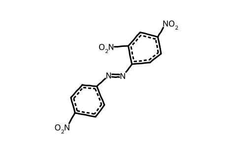 O=[N+]([O-])c1ccc(N=Nc2ccc([N+](=O)[O-])cc2[N+](=O)[O-])cc1